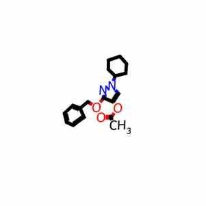 CC(=O)Oc1cn(C2CCCCC2)nc1OCc1ccccc1